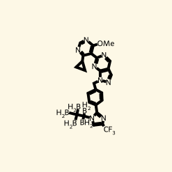 BC(B)(B)C(B)(B)n1cc(C(F)(F)F)nc1-c1ccc(Cn2ncc3cnc(-c4c(OC)ncnc4C4CC4)nc32)cc1